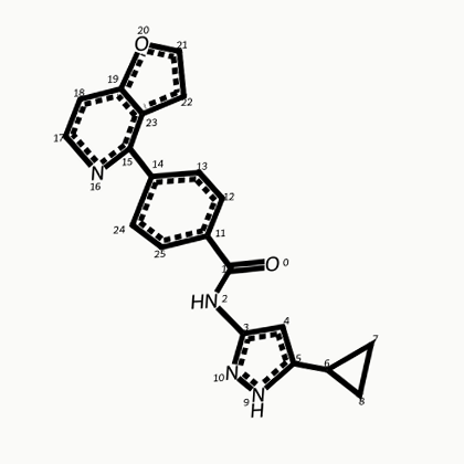 O=C(Nc1cc(C2CC2)[nH]n1)c1ccc(-c2nccc3occc23)cc1